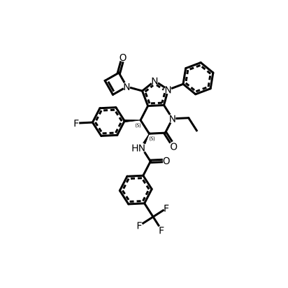 CCN1C(=O)[C@@H](NC(=O)c2cccc(C(F)(F)F)c2)[C@@H](c2ccc(F)cc2)c2c(N3C=CC3=O)nn(-c3ccccc3)c21